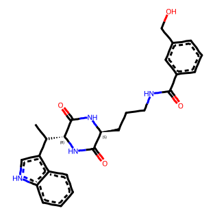 CC(c1c[nH]c2ccccc12)[C@H]1NC(=O)[C@H](CCCNC(=O)c2cccc(CO)c2)NC1=O